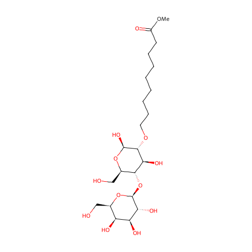 COC(=O)CCCCCCCCO[C@@H]1[C@@H](O)[C@H](O[C@@H]2O[C@H](CO)[C@H](O)[C@H](O)[C@H]2O)[C@@H](CO)O[C@H]1O